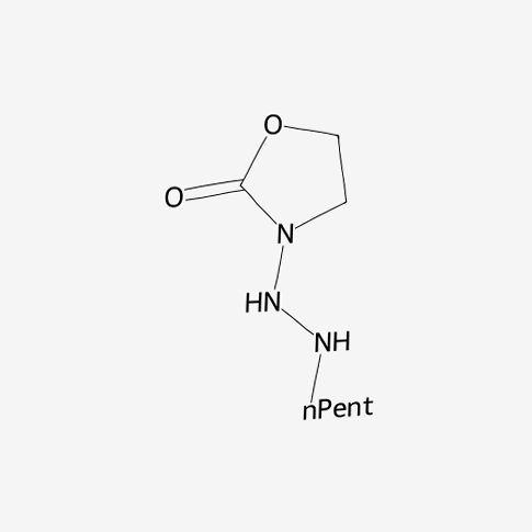 CCCCCNNN1CCOC1=O